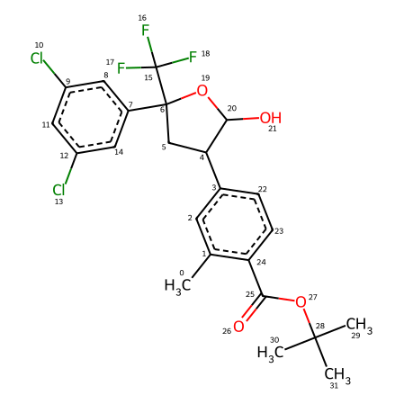 Cc1cc(C2CC(c3cc(Cl)cc(Cl)c3)(C(F)(F)F)OC2O)ccc1C(=O)OC(C)(C)C